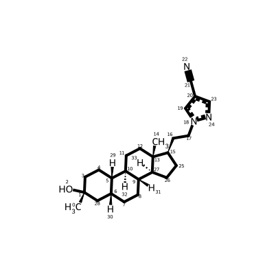 C[C@@]1(O)CC[C@H]2[C@H](CC[C@@H]3[C@@H]2CC[C@]2(C)[C@@H](CCn4cc(C#N)cn4)CC[C@@H]32)C1